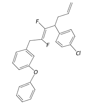 C=CCC(C(F)=C(F)Cc1cccc(Oc2ccccc2)c1)c1ccc(Cl)cc1